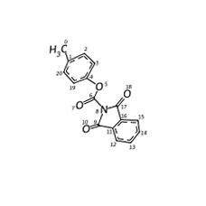 Cc1ccc(OC(=O)N2C(=O)c3ccccc3C2=O)cc1